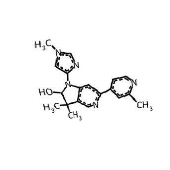 Cc1cc(-c2cc3c(cn2)C(C)(C)C(O)N3c2cn(C)cn2)ccn1